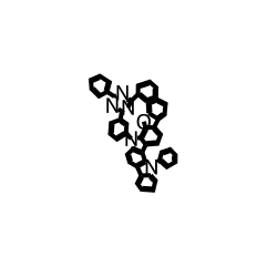 c1ccc(-c2nc(-c3ccccc3)nc(-c3cccc(-n4c5ccc6c7ccccc7n(-c7ccccc7)c6c5c5ccc6c7ccccc7oc6c54)c3)n2)cc1